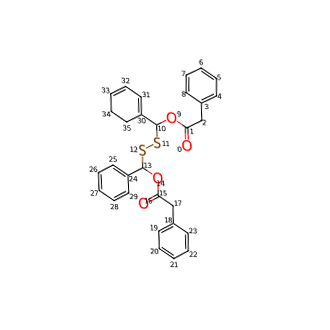 O=C(Cc1ccccc1)OC(SSC(OC(=O)Cc1ccccc1)c1ccccc1)C1=CC=CCC1